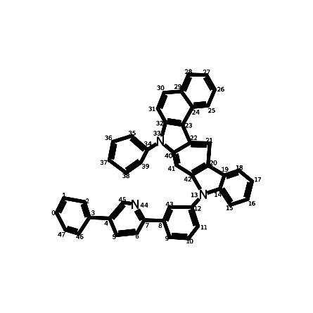 c1ccc(-c2ccc(-c3cccc(-n4c5ccccc5c5cc6c7c8ccccc8ccc7n(-c7ccccc7)c6cc54)c3)nc2)cc1